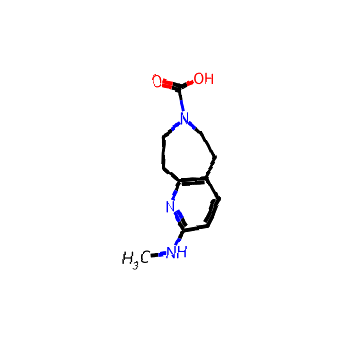 CNc1ccc2c(n1)CCN(C(=O)O)CC2